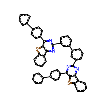 c1ccc(-c2ccc(-c3nc(-c4cccc(-c5cccc(-c6nc(-c7ccc(-c8ccccc8)cc7)c7sc8ccccc8c7n6)c5)c4)nc4c3sc3ccccc34)cc2)cc1